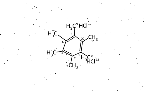 Cc1c(C)c(C)c(C)c(C)c1C.Cl.Cl